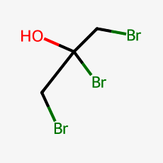 OC(Br)(CBr)CBr